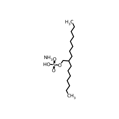 CCCCCCCCC(CCCCCCC)COS(=O)(=O)O.N